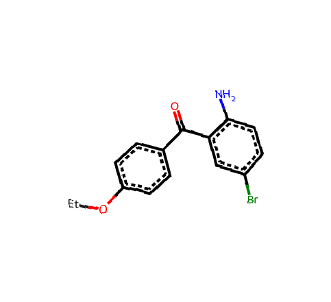 CCOc1ccc(C(=O)c2cc(Br)ccc2N)cc1